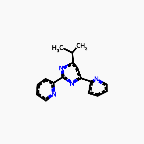 CC(C)c1cc(-c2ccccn2)nc(-c2ccccn2)n1